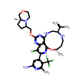 C=C(C)C1CNc2nc(OCC3CC[C@H]4COCCN34)nc3c(F)c(-c4cc(N)nc(C)c4C(F)(F)F)nc(c23)O[C@@H](C)CCN1